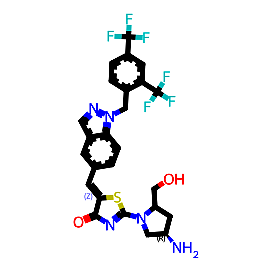 N[C@@H]1CC(CO)N(C2=NC(=O)/C(=C/c3ccc4c(cnn4Cc4ccc(C(F)(F)F)cc4C(F)(F)F)c3)S2)C1